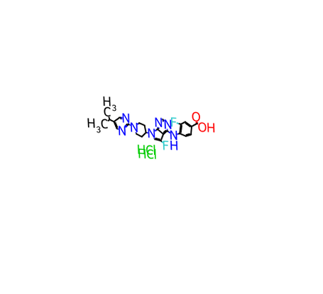 CC(C)c1cnc(N2CCC(n3cc(F)c4c(Nc5ccc(C(=O)O)cc5F)ncnc43)CC2)nc1.Cl.Cl